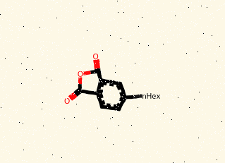 CCCCCCc1ccc2c(c1)C(=O)OC2=O